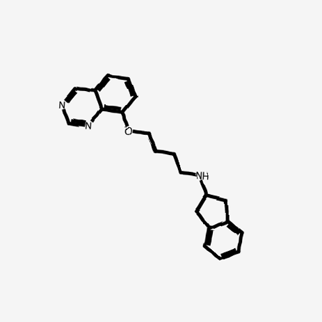 c1ccc2c(c1)CC(NCCCCOc1cccc3cncnc13)C2